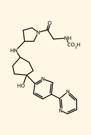 O=C(O)NCC(=O)N1CCC(NC2CCC(O)(c3ccc(-c4ncccn4)cn3)CC2)C1